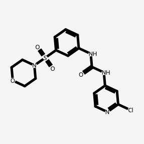 O=C(Nc1cccc(S(=O)(=O)N2CCOCC2)c1)Nc1ccnc(Cl)c1